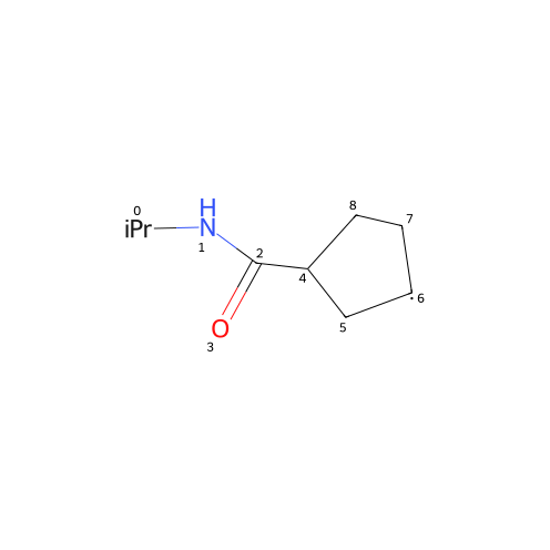 CC(C)NC(=O)C1C[CH]CC1